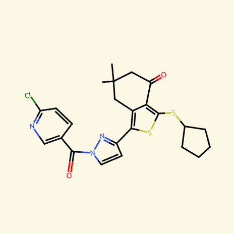 CC1(C)CC(=O)c2c(SC3CCCC3)sc(-c3ccn(C(=O)c4ccc(Cl)nc4)n3)c2C1